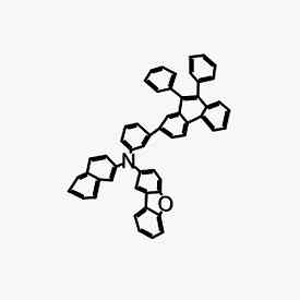 c1ccc(-c2c(-c3ccccc3)c3cc(-c4cccc(N(c5ccc6ccccc6c5)c5ccc6oc7ccccc7c6c5)c4)ccc3c3ccccc23)cc1